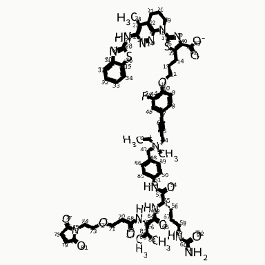 CC[N+](C)(CC#Cc1ccc(OCCCc2sc(N3CCCc4c3nnc(Nc3nc5ccccc5s3)c4C)nc2C(=O)[O-])c(F)c1)Cc1ccc(NC(=O)[C@H](CCCNC(N)=O)NC(=O)[C@@H](NC(=O)CCOCCN2C(=O)C=CC2=O)C(C)C)cc1